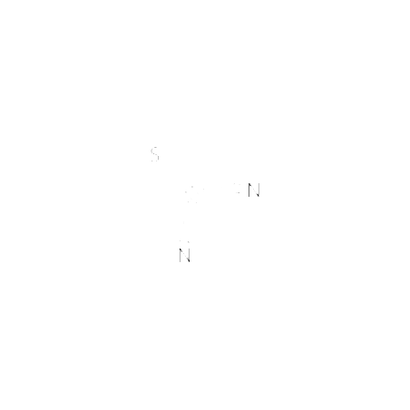 S=c1n2ccn1C2